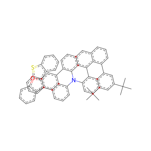 CC(C)(C)c1cc(-c2cccc3cccc(-c4ccccc4N(c4cccc(-c5cccc6sc7ccccc7c56)c4)c4ccccc4-c4ccc5c(c4)oc4ccccc45)c23)cc(C(C)(C)C)c1